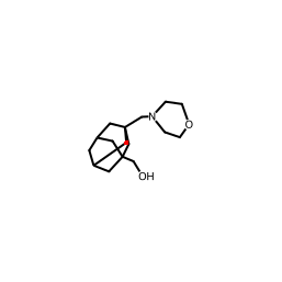 OCC12CC3CC(C1)CC(CN1CCOCC1)(C3)C2